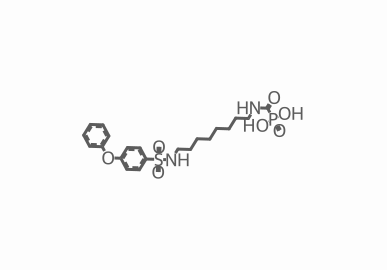 O=C(NCCCCCCCCNS(=O)(=O)c1ccc(Oc2ccccc2)cc1)P(=O)(O)O